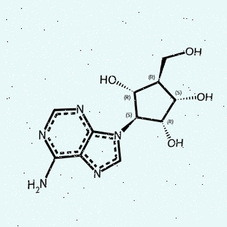 Nc1ncnc2c1ncn2[C@H]1[C@H](O)[C@@H](CO)[C@H](O)[C@@H]1O